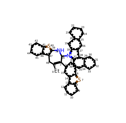 CCC1=C(c2ccc3sc4ccccc4c3c2)C(n2c3cc4ccccc4cc3c3c4ccccc4ccc32)Nc2sc3ccccc3c2C1